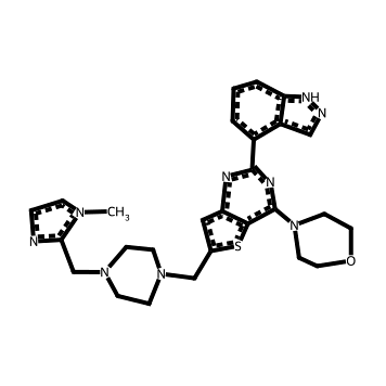 Cn1ccnc1CN1CCN(Cc2cc3nc(-c4cccc5[nH]ncc45)nc(N4CCOCC4)c3s2)CC1